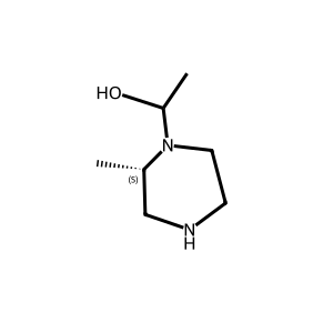 CC(O)N1CCNC[C@@H]1C